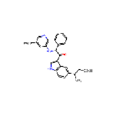 COc1cncc(NC(C(=O)c2c[nH]c3ccc(C(C)CC(=O)O)cc23)c2ccccc2)c1